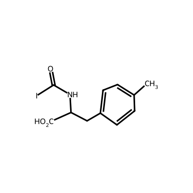 Cc1ccc(CC(NC(=O)I)C(=O)O)cc1